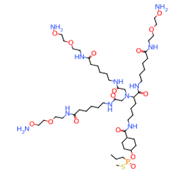 CCCP(=O)(OC1CCC(C(=O)NCCCCC(C(=O)NCCCCCC(=O)NCCOCCON)N(CC(=O)NCCCCCC(=O)NCCOCCON)CC(=O)NCCCCCC(=O)NCCOCCON)CC1)SC